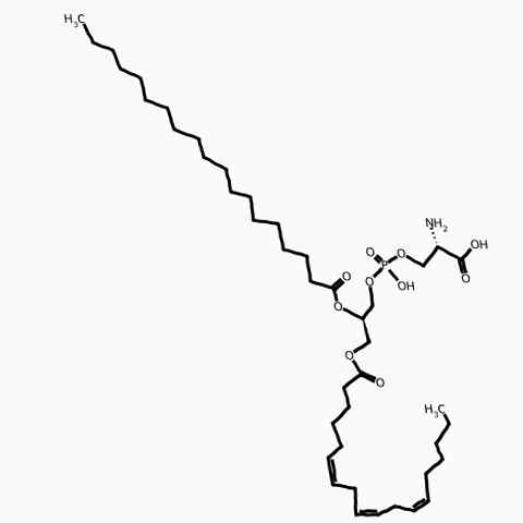 CCCCC/C=C\C/C=C\C/C=C\CCCCC(=O)OC[C@H](COP(=O)(O)OC[C@H](N)C(=O)O)OC(=O)CCCCCCCCCCCCCCCCCC